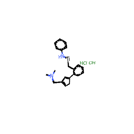 CN(C)CC1=CCC(c2ccccc2[CH2][Ti][NH]c2ccccc2)=C1.Cl.Cl